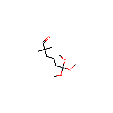 CO[Si](CCCC(C)(C)[C]=O)(OC)OC